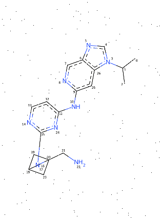 CC(C)n1cnc2cnc(Nc3ccnc(N4CC5CC4(CN)C5)n3)cc21